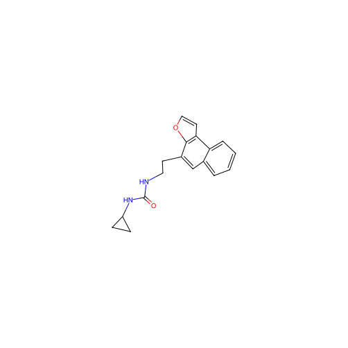 O=C(NCCc1cc2ccccc2c2ccoc12)NC1CC1